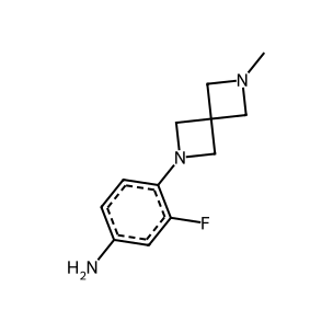 CN1CC2(C1)CN(c1ccc(N)cc1F)C2